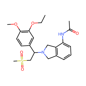 CCOc1cc(C(CS(C)(=O)=O)N2Cc3cccc(NC(C)=O)c3C2)ccc1OC